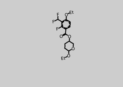 CCOc1ccc(C(=O)OC2CCC(OCC)OC2)c(F)c1C(F)F